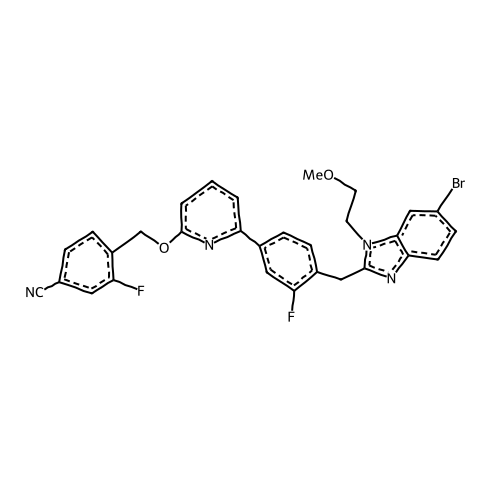 COCCn1c(Cc2ccc(-c3cccc(OCc4ccc(C#N)cc4F)n3)cc2F)nc2ccc(Br)cc21